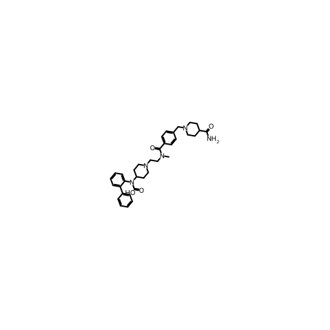 CN(CCN1CCC(N(C(=O)O)c2ccccc2-c2ccccc2)CC1)C(=O)c1ccc(CN2CCC(C(N)=O)CC2)cc1